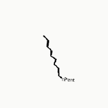 [CH2]CCCCCCCCC=CC=CC